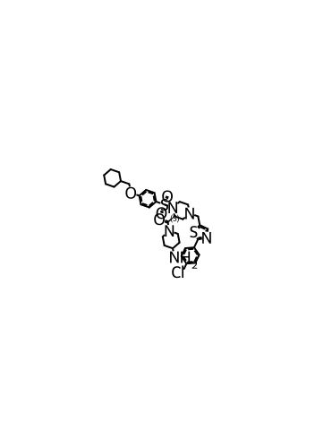 NC1CCN(C(=O)[C@@H]2CN(Cc3cnc(-c4ccc(Cl)cc4)s3)CCN2S(=O)(=O)c2ccc(OCC3CCCCC3)cc2)CC1